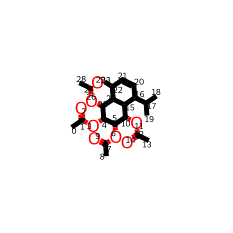 CC(=O)OC1C(OC(C)=O)C(OC(C)=O)C2C(C(C)C)C=CC(C)C2C1OC(C)=O